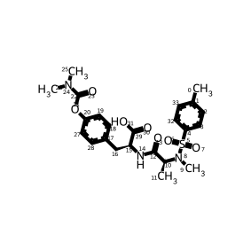 Cc1ccc(S(=O)(=O)N(C)[C@@H](C)C(=O)N[C@@H](Cc2ccc(OC(=O)N(C)C)cc2)C(=O)O)cc1